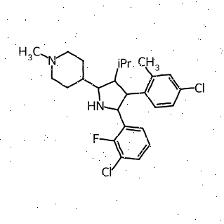 Cc1cc(Cl)ccc1C1C(c2cccc(Cl)c2F)NC(C2CCN(C)CC2)C1C(C)C